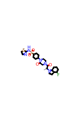 C[C@H](C(=O)N1CCN(c2ccc(S(=O)(=O)Nc3nccs3)cc2)C(=O)C1)n1ccc2c(F)cccc21